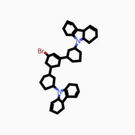 BrC1C=C(C2CCCC(N3C4=C(C=CCC4)C4C=CCCC43)C2)CC(C2CCCC(N3C4=C(C=CCC4)C4CCC=CC43)C2)C1